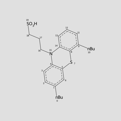 CCCCc1ccc2c(c1)Sc1c(CCCC)cccc1N2CCCS(=O)(=O)O